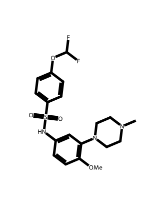 COc1ccc(NS(=O)(=O)c2ccc(OC(F)F)cc2)cc1N1CCN(C)CC1